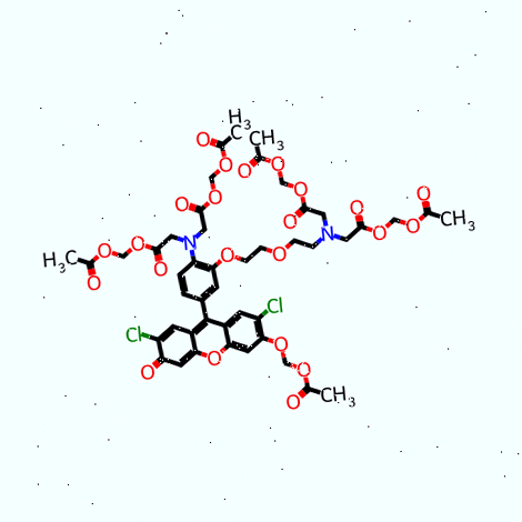 CC(=O)OCOC(=O)CN(CCOCCOc1cc(-c2c3cc(Cl)c(=O)cc-3oc3cc(OCOC(C)=O)c(Cl)cc23)ccc1N(CC(=O)OCOC(C)=O)CC(=O)OCOC(C)=O)CC(=O)OCOC(C)=O